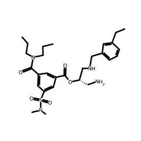 CCCN(CCC)C(=O)c1cc(C(=O)O[C@@H](CN)CNCc2cccc(CC)c2)cc(S(=O)(=O)N(C)C)c1